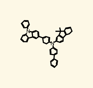 CC1(C)C2=C(CCC=C2)c2ccc(N(C3=CC=C(c4ccc5c(c4)c4ccccc4n5-c4ccccc4)CC3)c3ccc(-c4ccccc4)cc3)cc21